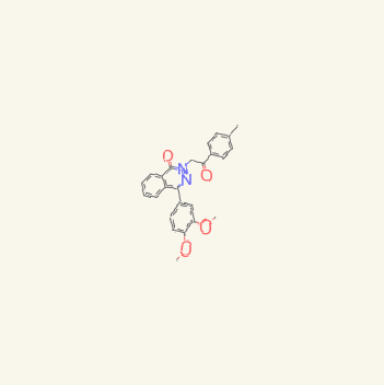 COc1ccc(-c2nn(CC(=O)c3ccc(C)cc3)c(=O)c3ccccc23)cc1OC